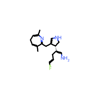 CC1=CCC=C(C)C(CC2=CNC[C@@H]2/C(=C/N)C/C=C/F)=N1